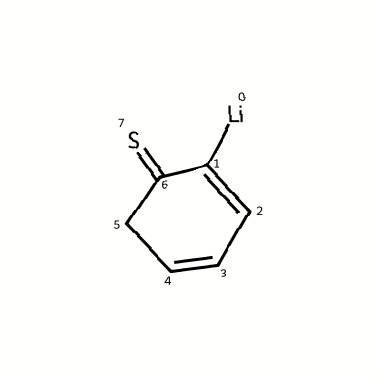 [Li][C]1=CC=CCC1=S